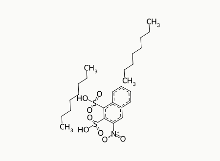 CCCCCCCC.CCCCCCCC.O=[N+]([O-])c1cc2ccccc2c(S(=O)(=O)O)c1S(=O)(=O)O